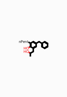 CCCCCc1cc(Cc2ccccc2)cc(CC(C)O)c1O